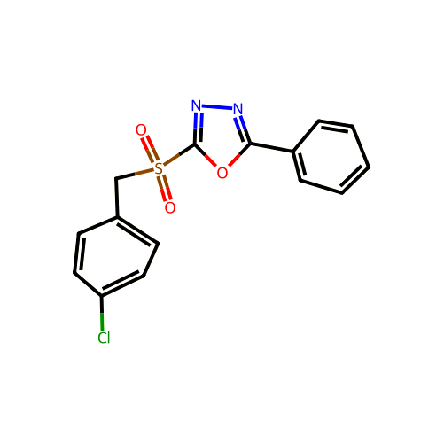 O=S(=O)(Cc1ccc(Cl)cc1)c1nnc(-c2ccccc2)o1